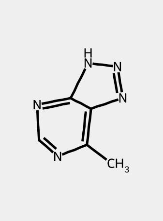 Cc1ncnc2[nH]nnc12